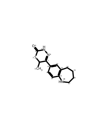 CC1SC(=O)NN=C1c1ccc2c(c1)CCCCN2